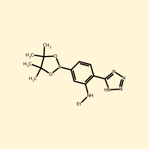 CCNc1cc(B2OC(C)(C)C(C)(C)O2)ccc1-c1nnn[nH]1